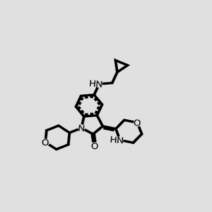 O=C1/C(=C2/COCCN2)c2cc(NCC3CC3)ccc2N1C1CCOCC1